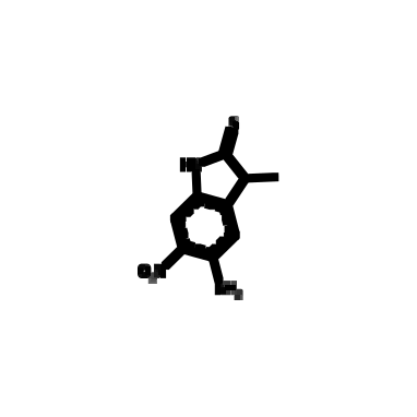 CC1C(=S)Nc2cc([N+](=O)[O-])c(N)cc21